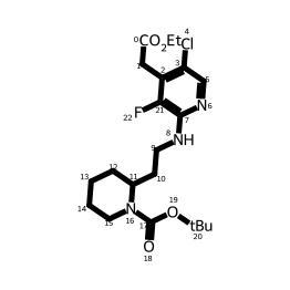 CCOC(=O)Cc1c(Cl)cnc(NCCC2CCCCN2C(=O)OC(C)(C)C)c1F